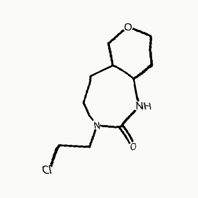 O=C1NC2CCOCC2CCN1CCCl